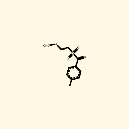 Cc1ccc(C(=O)S(=O)(=O)CCOC=O)cc1